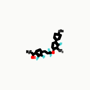 CCCCc1ccc(-c2ccc(OC(F)(F)CCc3ccc(C(C)O)c(F)c3F)c(C(F)(F)F)c2F)cc1